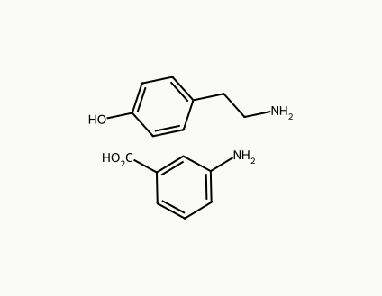 NCCc1ccc(O)cc1.Nc1cccc(C(=O)O)c1